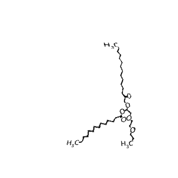 CCCCCCCCCCCCCC(=O)COC(COCCOCCC)OC(=O)CCCCCCCCCCCCC